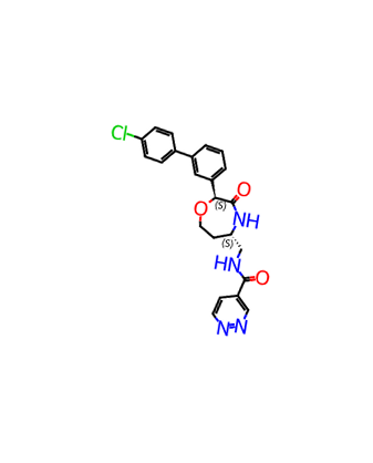 O=C(NC[C@@H]1CCO[C@@H](c2cccc(-c3ccc(Cl)cc3)c2)C(=O)N1)c1ccnnc1